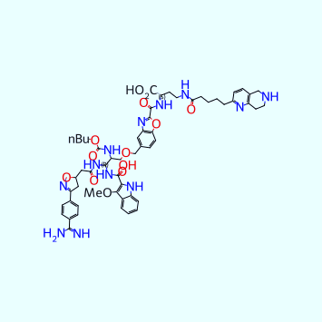 CCCCOC(=O)NC(C(O)OCc1ccc2oc(C(=O)N[C@@H](CCNC(=O)CCCCc3ccc4c(n3)CCNC4)C(=O)O)nc2c1)[C@H](NC(=O)CC1CC(c2ccc(C(=N)N)cc2)=NO1)NC(=O)c1[nH]c2ccccc2c1OC